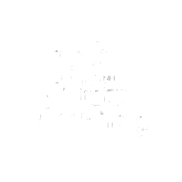 O=S(=O)(Nc1c(Nc2ccc(I)cc2F)c(F)c(F)c2ccoc12)C1(CC(O)CO)CC1